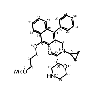 COCCCOc1cc(CN(C(=O)[C@H]2CNCCO2)C2CC2)c(-c2ccccc2)c2ccccc12